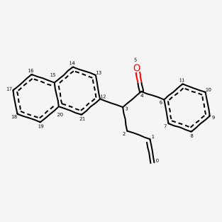 C=CCC(C(=O)c1ccccc1)c1ccc2ccccc2c1